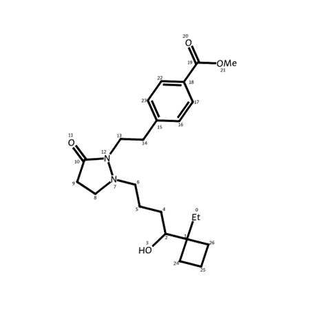 CCC1(C(O)CCCN2CCC(=O)N2CCc2ccc(C(=O)OC)cc2)CCC1